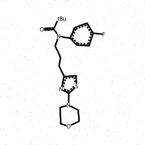 CC(C)(C)C(=O)N(CCCc1csc(N2CCOCC2)n1)c1ccc(F)cc1